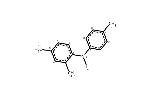 Cc1ccc(N(I)c2ccc(C)cc2C)cc1